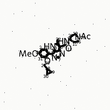 COc1ccc(-c2ncnc3c(C(=O)NC4CCN(C(C)=O)CC4)c(C)[nH]c23)c(OCC2CC2)c1